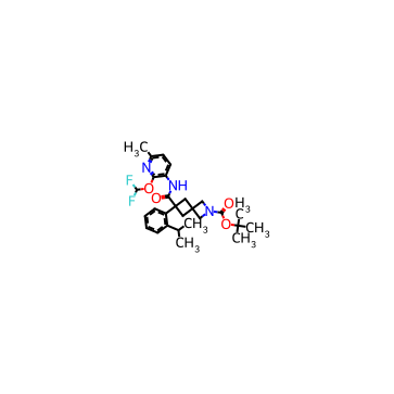 Cc1ccc(NC(=O)C2(c3ccccc3C(C)C)CC3(CN(C(=O)OC(C)(C)C)C3)C2)c(OC(F)F)n1